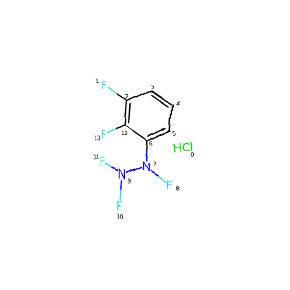 Cl.Fc1cccc(N(F)N(F)F)c1F